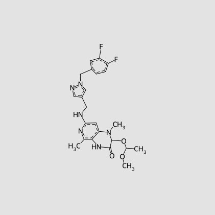 COC(C)OC1C(=O)Nc2c(cc(NCc3cnn(Cc4ccc(F)c(F)c4)c3)nc2C)N1C